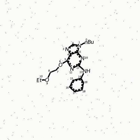 CCCCn1cnc2c(OCCOCC)nc(Nc3ccccc3)nc21